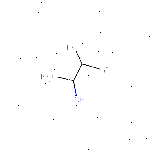 CCCC(C)C(N)C(=O)O